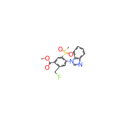 COC(=O)c1cc(S(C)(=O)=O)c(-n2cnc3ccccc32)cc1CF